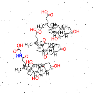 C[C@H](CCC(=O)NCC(=O)O)[C@H]1CC[C@H]2[C@@H]3[C@H](O)C[C@@H]4C[C@H](O)CC[C@]4(C)[C@H]3C[C@H](O)[C@]12C.C[C@H](CCC(=O)O)[C@H]1CC[C@H]2[C@@H]3C(=O)C[C@@H]4CC(=O)CC[C@]4(C)[C@H]3CC(=O)[C@]12C.C[C@H](CCC(=O)O)[C@H]1CC[C@H]2[C@@H]3[C@@H](O)C[C@@H]4C[C@H](O)CC[C@]4(C)[C@H]3CC[C@]12C